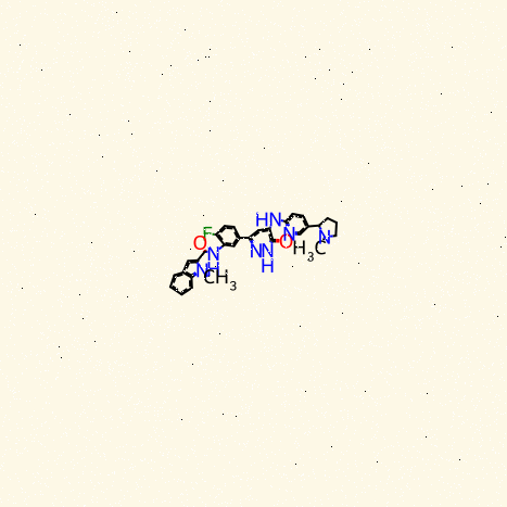 CN1CCCC1c1ccc(Nc2cc(-c3ccc(F)c(NC(=O)c4cc5ccccc5n4C)c3)n[nH]c2=O)nc1